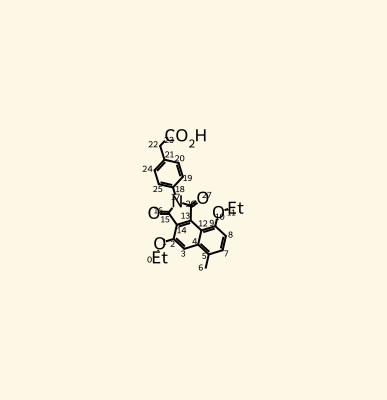 CCOc1cc2c(C)ccc(OCC)c2c2c1C(=O)N(c1ccc(CC(=O)O)cc1)C2=O